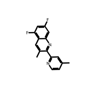 Cc1ccnc(-c2nc3cc(F)cc(F)c3cc2C)c1